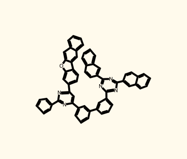 c1ccc(-c2nc(-c3cccc(-c4cccc(-c5nc(-c6ccc7ccccc7c6)nc(-c6ccc7ccccc7c6)n5)c4)c3)cc(-c3ccc4c(c3)oc3cc5ccccc5cc34)n2)cc1